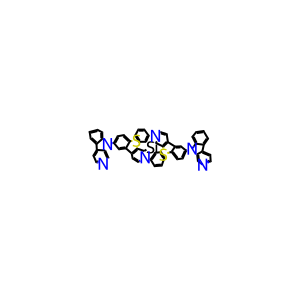 c1ccc([Si](c2ccccc2)(c2nccc3c2sc2ccc(-n4c5ccccc5c5ccncc54)cc23)c2nccc3c2sc2ccc(-n4c5ccccc5c5ccncc54)cc23)cc1